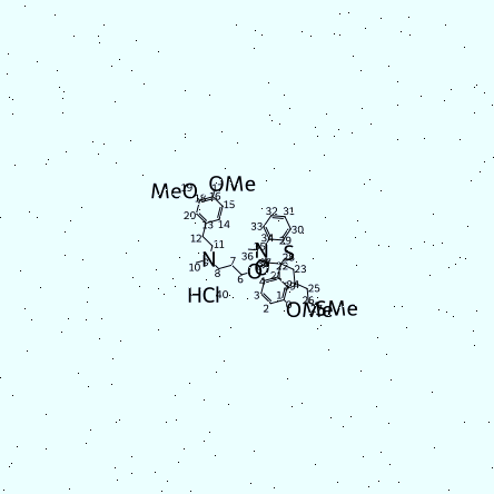 COc1ccc(OCCCN(C)CCc2ccc(OC)c(OC)c2)c(C2(CCCCSC)Sc3ccccc3N(C)C2=O)c1.Cl